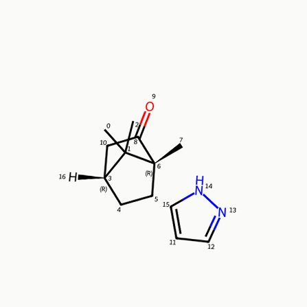 CC1(C)[C@@H]2CC[C@@]1(C)C(=O)C2.c1cn[nH]c1